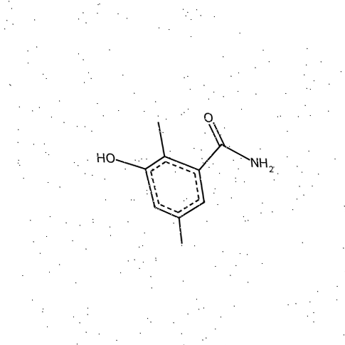 Cc1cc(O)c(C)c(C(N)=O)c1